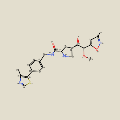 Cc1cc(C(OC(C)(C)C)C(=O)[C@H]2CN[C@H](C(=O)NCc3ccc(-c4scnc4C)cc3)C2)on1